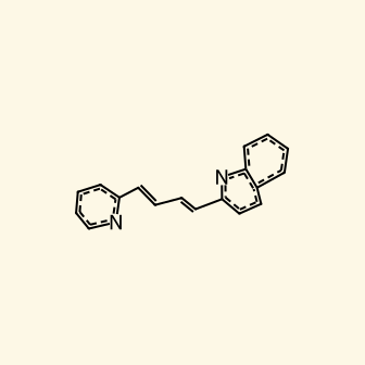 C(C=Cc1ccc2ccccc2n1)=Cc1ccccn1